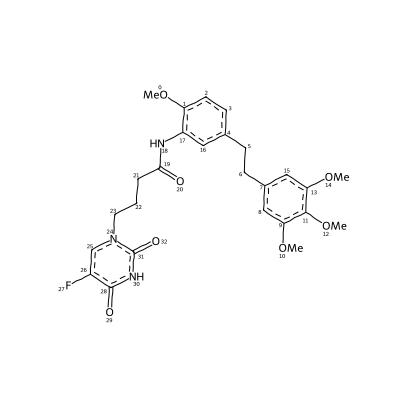 COc1ccc(CCc2cc(OC)c(OC)c(OC)c2)cc1NC(=O)CCCn1cc(F)c(=O)[nH]c1=O